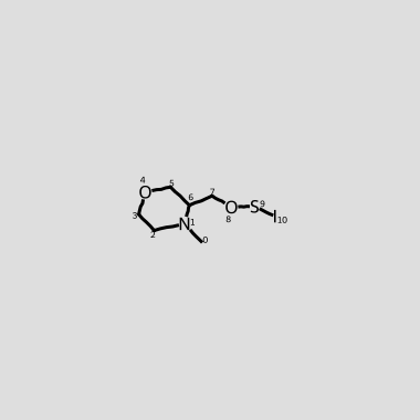 CN1CCOCC1COSI